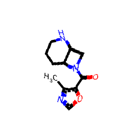 Cc1ncoc1C(=O)N1CC2NCCCC21